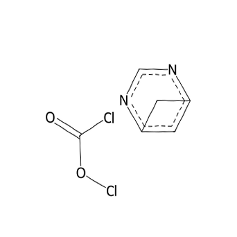 O=C(Cl)OCl.c1nc2cc(n1)C2